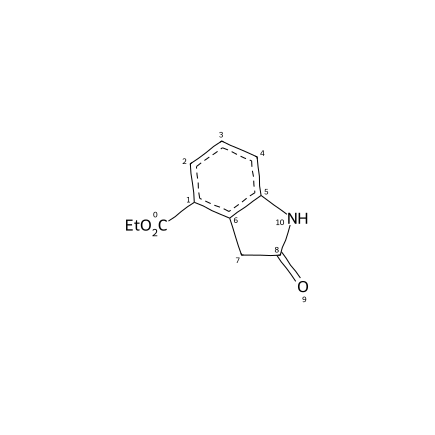 CCOC(=O)c1cccc2c1CC(=O)N2